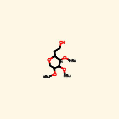 CCCCOC1COC(CCO)[C@@H](OCCCC)C1OCCCC